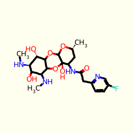 CNC1C2O[C@@]3(O)C(NC(=O)Cc4ccc(F)cn4)C[C@@H](C)OC3OC2[C@@H](O)[C@H](NC)C1O